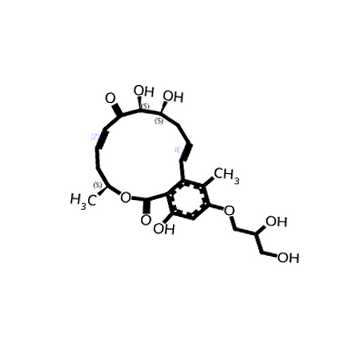 Cc1c(OCC(O)CO)cc(O)c2c1/C=C/C[C@H](O)[C@H](O)C(=O)/C=C\C[C@H](C)OC2=O